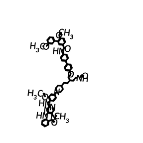 CCOc1cc(N2CCC(CCC(CCNC=O)COc3ccc(-c4ccc(NC(=O)c5ccc(OC)c(-c6cccc(OC)c6)c5)cc4)cc3)CC2)ccc1Nc1ncc2c(n1)Nc1ccccc1C(=O)N2C